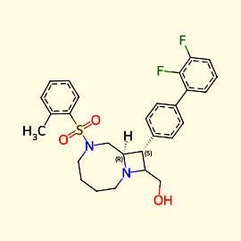 Cc1ccccc1S(=O)(=O)N1CCCCN2C(CO)[C@@H](c3ccc(-c4cccc(F)c4F)cc3)[C@@H]2C1